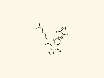 CC(CCCCCN(C)C)Sc1ncccc1C(=O)c1cccs1.O=C(O)C(=O)O